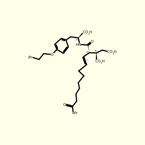 CCCC(=O)CCCCCC/C=C/[C@H](C(=O)N[C@@H](Cc1ccc(OCCC(C)C)cc1)C(=O)O)[C@@H](CC(=O)O)C(=O)O